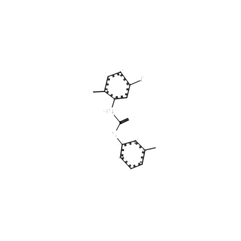 [CH2]c1cccc(NC(=O)Nc2cc(F)ccc2F)c1